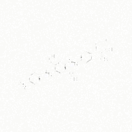 COc1cc(/N=N/c2ccc([N+](=O)[O-])cc2)c(OC)cc1/N=N/c1ccc(C(C(C)C)C(C)C)cc1